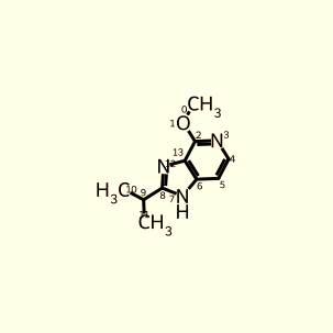 COc1nccc2[nH]c(C(C)C)nc12